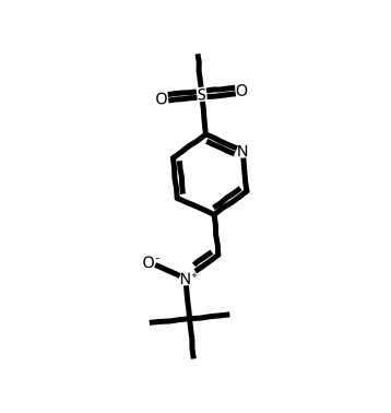 CC(C)(C)[N+]([O-])=Cc1ccc(S(C)(=O)=O)nc1